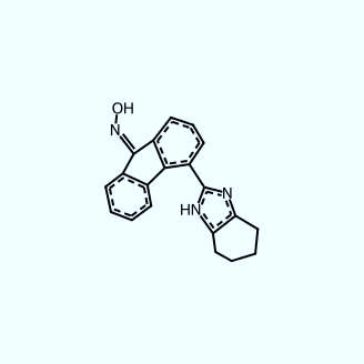 ON=C1c2ccccc2-c2c1cccc2-c1nc2c([nH]1)CCCC2